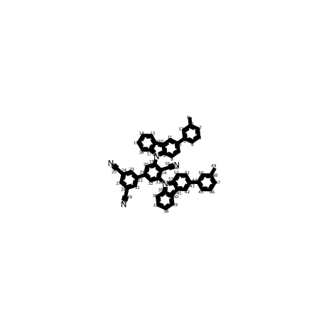 Cc1cccc(-c2ccc3c(c2)c2ccccc2n3-c2cc(-c3cc(C#N)cc(C#N)c3)cc(-n3c4ccccc4c4cc(-c5cccc(C)c5)ccc43)c2C#N)c1